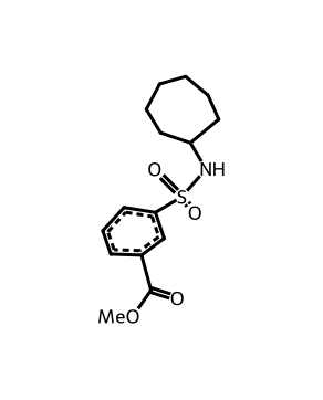 COC(=O)c1cccc(S(=O)(=O)NC2CCCCCC2)c1